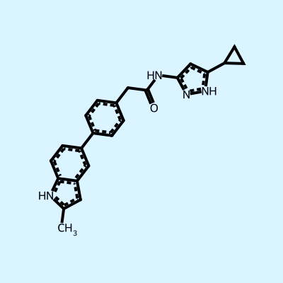 Cc1cc2cc(-c3ccc(CC(=O)Nc4cc(C5CC5)[nH]n4)cc3)ccc2[nH]1